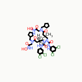 CC(C)(CC(=O)N(CC(=O)NO)CC1CCCC1)CN(C(=O)Nc1cc(Cl)cc(Cl)c1)N(CC(C)(C)CC(=O)N(CC(=O)NO)CC1CCCC1)C(=O)Nc1ccc(Cl)c(Cl)c1